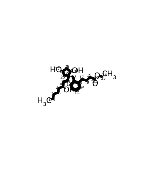 CCCCC[C@H](O)/C=C/[C@]1(Cc2ccccc2CCCC(=O)OCC)C[C@H](O)C[C@@H]1O